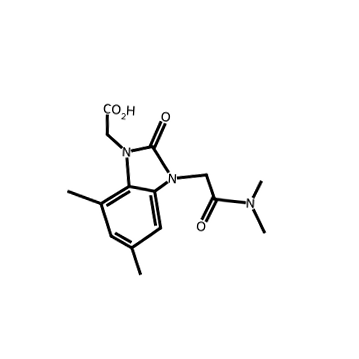 Cc1cc(C)c2c(c1)n(CC(=O)N(C)C)c(=O)n2CC(=O)O